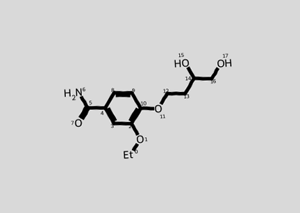 CCOc1cc(C(N)=O)ccc1OCCC(O)CO